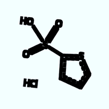 Cl.O=S(=O)(O)c1cccs1